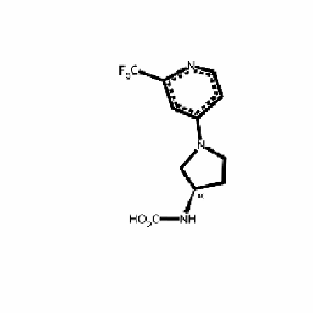 O=C(O)N[C@@H]1CCN(c2ccnc(C(F)(F)F)c2)C1